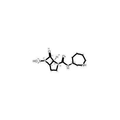 O=C(N[C@H]1CCCCNC1)N1CCC2[C@H]1C(=O)N2S(=O)(=O)O